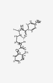 CC(NC(=O)c1ccc(Br)cc1)C1CCN(C(=O)Oc2cccnc2F)CC1